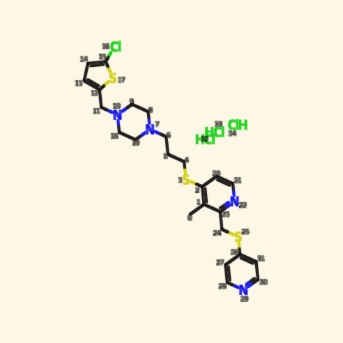 Cc1c(SCCCN2CCN(Cc3ccc(Cl)s3)CC2)ccnc1CSc1ccncc1.Cl.Cl.Cl